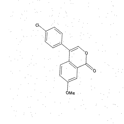 COc1ccc2c(-c3ccc(Cl)cc3)coc(=O)c2c1